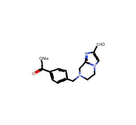 COC(=O)c1ccc(CN2CCn3cc(C=O)nc3C2)cc1